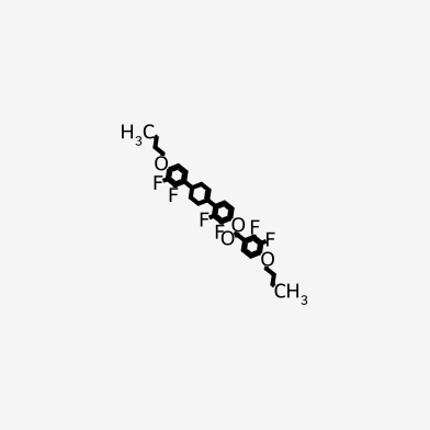 CCCCOc1ccc(C(=O)Oc2ccc(C3=CCC(c4ccc(OCCCC)c(F)c4F)CC3)c(F)c2F)c(F)c1F